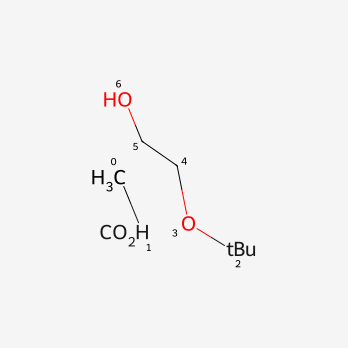 CC(=O)O.CC(C)(C)OCCO